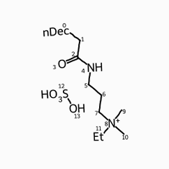 CCCCCCCCCCCC(=O)NCCC[N+](C)(C)CC.O=S(=O)(O)O